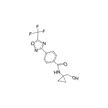 O=C(NC1(CO)CC1)c1ccc(-c2noc(C(F)(F)F)n2)cc1